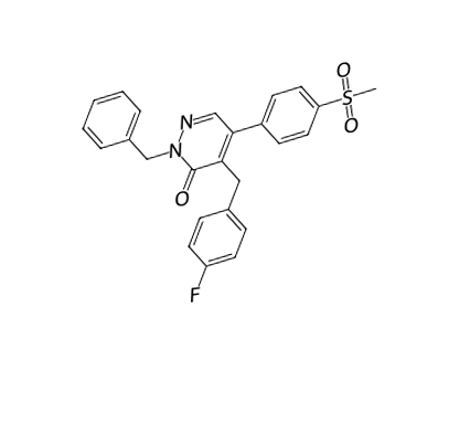 CS(=O)(=O)c1ccc(-c2cnn(Cc3ccccc3)c(=O)c2Cc2ccc(F)cc2)cc1